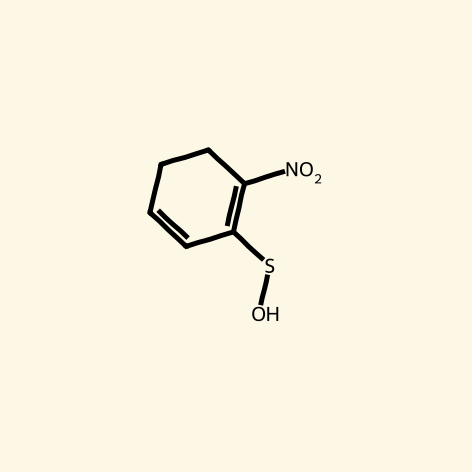 O=[N+]([O-])C1=C(SO)C=CCC1